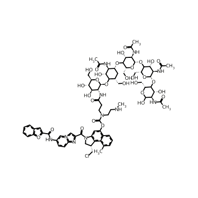 CNCCN(CCC(=O)N[C@H]1[C@H](OC2[C@@H](CO)C[C@@H](OC3[C@@H](CO)O[C@@H](OC4[C@@H](CO)O[C@@H](OC5[C@@H](CO)OC(O)[C@H](NC(C)=O)[C@H]5O)[C@H](NC(C)=O)[C@H]4O)[C@H](NC(C)=O)[C@H]3O)[C@H](NC(C)=O)[C@H]2O)O[C@H](CO)[C@@H](O)[C@@H]1O)C(=O)Oc1cc2c(c3c(C)cccc13)[C@H](CCl)CN2C(=O)c1cn2cc(NC(=O)c3cc4ccccc4o3)ccc2n1